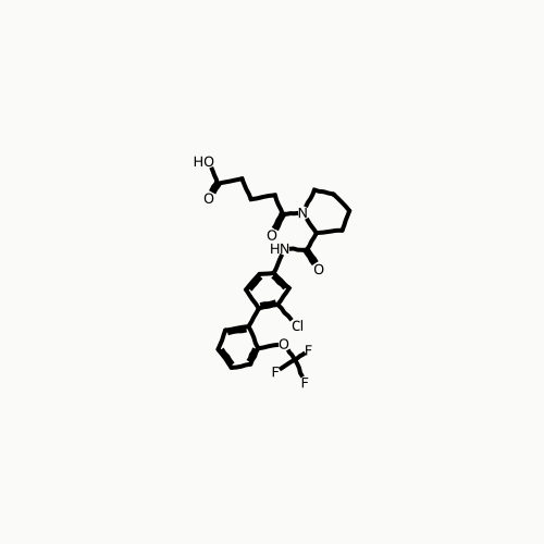 O=C(O)CCCC(=O)N1CCCCC1C(=O)Nc1ccc(-c2ccccc2OC(F)(F)F)c(Cl)c1